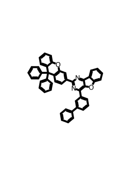 c1ccc(-c2cccc(-c3nc(-c4ccc5c(c4)Oc4ccccc4C5(c4ccccc4)c4ccccc4)nc4c3oc3ccccc34)c2)cc1